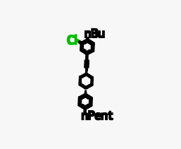 CCCCCc1ccc([C@H]2CC[C@H](C#Cc3ccc(CCCC)c(Cl)c3)CC2)cc1